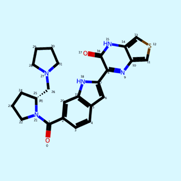 O=C(c1ccc2cc(-c3nc4cscc4[nH]c3=O)[nH]c2c1)N1CCC[C@@H]1CN1CCCC1